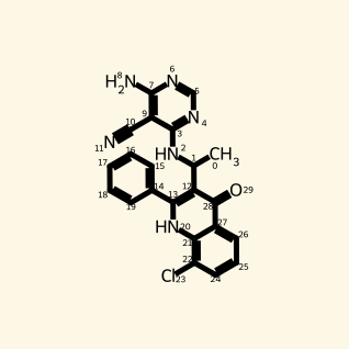 CC(Nc1ncnc(N)c1C#N)c1c(-c2ccccc2)[nH]c2c(Cl)cccc2c1=O